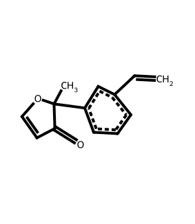 C=Cc1cccc(C2(C)OC=CC2=O)c1